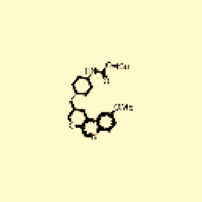 COc1ccc2ncc3c(c2c1)CC(C[C@H]1CC[C@H](NC(=O)OC(C)(C)C)CC1)CO3